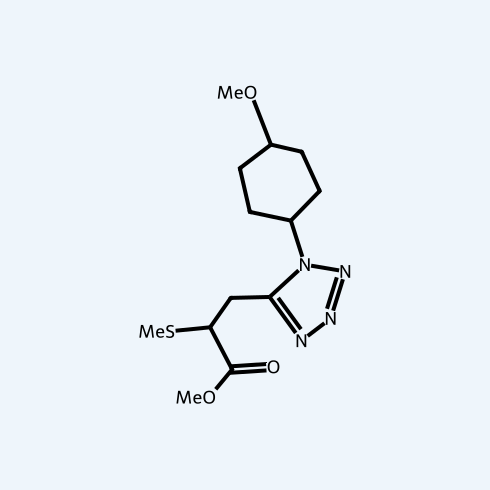 COC(=O)C(Cc1nnnn1C1CCC(OC)CC1)SC